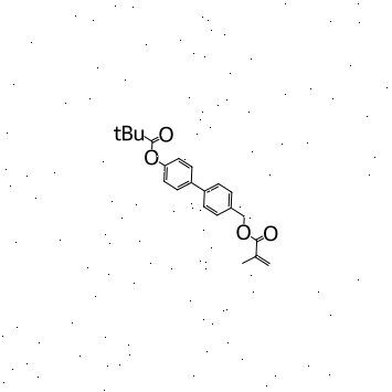 C=C(C)C(=O)OCc1ccc(-c2ccc(OC(=O)C(C)(C)C)cc2)cc1